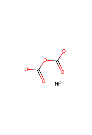 O=C([O-])OC(=O)[O-].[Ni+2]